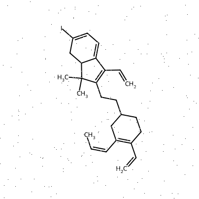 C=CC1=C(/C=C\C)CC(CCC2=C(C=C)C3=CC=C(I)CC3C2(C)C)CC1